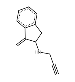 C#CCNC1Cc2ccccc2C1=C